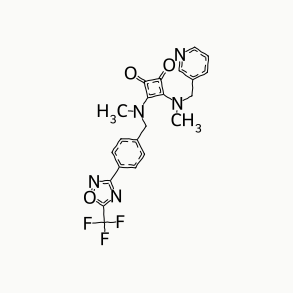 CN(Cc1ccc(-c2noc(C(F)(F)F)n2)cc1)c1c(N(C)Cc2cccnc2)c(=O)c1=O